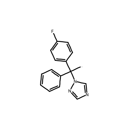 [CH2]C(c1ccccc1)(c1ccc(F)cc1)n1cncn1